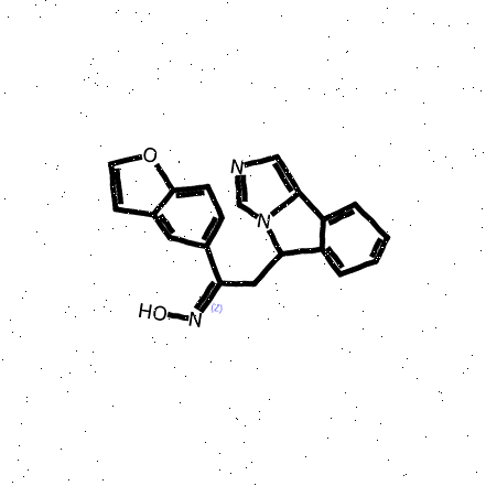 O/N=C(/CC1c2ccccc2-c2cncn21)c1ccc2occc2c1